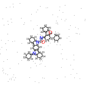 c1ccc(-c2cc3oc(-n4c5ccccc5c5cc6c(cc54)c4ccccc4n6-c4ccccc4)nc3c3c2oc2ccccc23)cc1